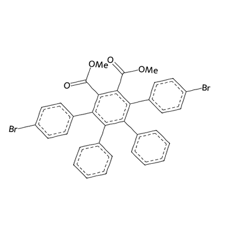 COC(=O)c1c(C(=O)OC)c(-c2ccc(Br)cc2)c(-c2ccccc2)c(-c2ccccc2)c1-c1ccc(Br)cc1